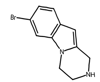 Brc1ccc2cc3n(c2c1)CCNC3